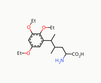 CCOc1cc(OCC)c(OCC)c(C(C)C(C)CC(N)C(=O)O)c1